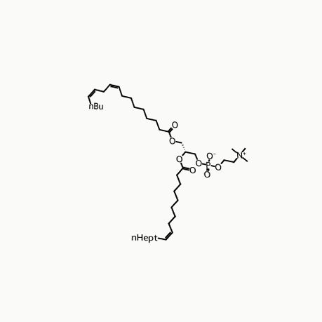 CCCC/C=C\C/C=C\CCCCCCCC(=O)OC[C@H](COP(=O)([O-])OCC[N+](C)(C)C)OC(=O)CCCCCCC/C=C\CCCCCCC